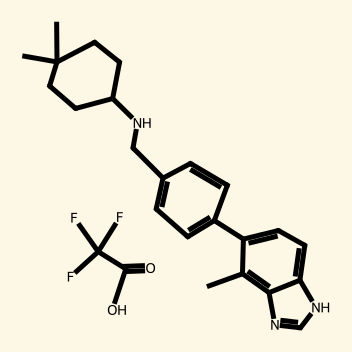 Cc1c(-c2ccc(CNC3CCC(C)(C)CC3)cc2)ccc2[nH]cnc12.O=C(O)C(F)(F)F